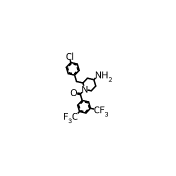 NC1CCN(C(=O)c2cc(C(F)(F)F)cc(C(F)(F)F)c2)C(Cc2ccc(Cl)cc2)C1